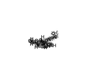 CC(C)c1ccccc1[C@@H]1CCCN1C1CC2(CCN(c3ccc(C(=O)NS(=O)(=O)c4cc5c(c([N+](=O)[O-])c4)N[C@@H](CN4C[C@H]6C[C@@H]4CO6)CO5)c(N4C[C@H]5COCC[C@H]5Oc5nc6[nH]ccc6cc54)c3)CC2)C1